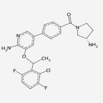 CC(Oc1cc(-c2ccc(C(=O)N3CC[C@H](N)C3)cc2)cnc1N)c1c(F)ccc(F)c1Cl